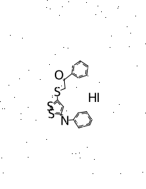 I.O=C(CSc1cc(=Nc2ccccc2)ss1)c1ccccc1